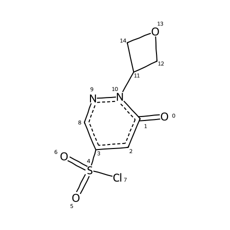 O=c1cc(S(=O)(=O)Cl)cnn1C1COC1